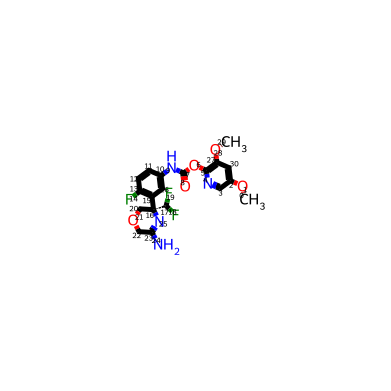 COc1cnc(OC(=O)Nc2ccc(F)c([C@]3(C(F)F)COCC(N)=N3)c2)c(OC)c1